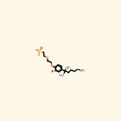 CCCCCC(C)(C)c1ccc(OCCOCCS(=O)(=O)[O-])cc1.[Na+]